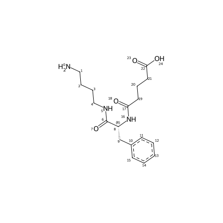 NCCCCNC(=O)[C@@H](Cc1ccccc1)NC(=O)CCCC(=O)O